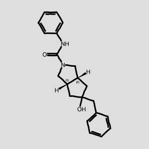 O=C(Nc1ccccc1)N1C[C@@H]2CC(O)(Cc3ccccc3)C[C@@H]2C1